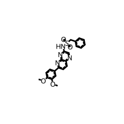 COc1ccc(-c2ccc3ncc(NS(=O)(=O)Cc4ccccc4)nc3n2)cc1OC